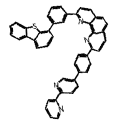 c1ccc(-c2ccc(-c3ccc(-c4ccc5ccc6ccc(-c7cccc(-c8cccc9c8sc8ccccc89)c7)nc6c5n4)cc3)cn2)nc1